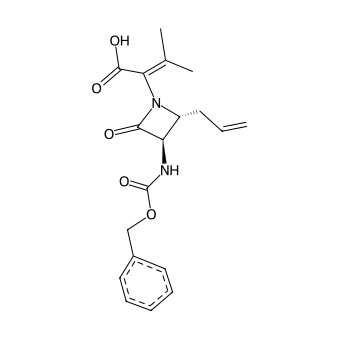 C=CC[C@@H]1[C@@H](NC(=O)OCc2ccccc2)C(=O)N1C(C(=O)O)=C(C)C